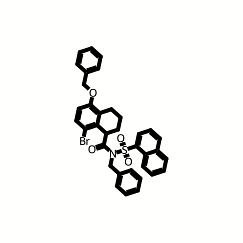 O=C(C1CCCc2c(OCc3ccccc3)ccc(Br)c21)N(Cc1ccccc1)S(=O)(=O)c1cccc2ccccc12